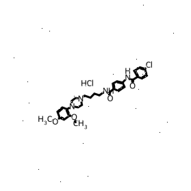 COc1ccc(N2CCN(CCCCNC(=O)c3ccc(NC(=O)c4ccc(Cl)cc4)cc3)CC2)c(OC)c1.Cl